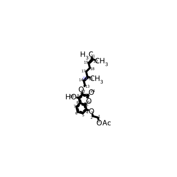 CC(=O)OCCOc1cccc2c(O)c(OC/C=C(\C)CCC=C(C)C)c(=O)oc12